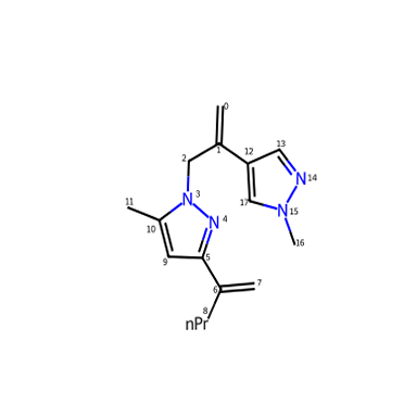 C=C(Cn1nc(C(=C)CCC)cc1C)c1cnn(C)c1